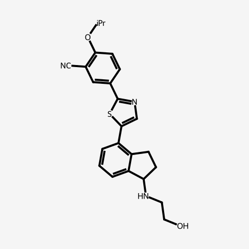 CC(C)Oc1ccc(-c2ncc(-c3cccc4c3CCC4NCCO)s2)cc1C#N